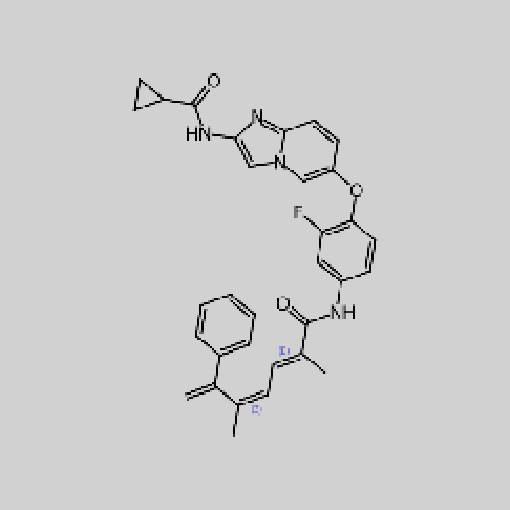 C=C(/C(C)=C\C=C(/C)C(=O)Nc1ccc(Oc2ccc3nc(NC(=O)C4CC4)cn3c2)c(F)c1)c1ccccc1